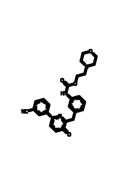 N#Cc1cccc(-n2ccc(=O)c(Cc3cccc(NC(=O)OCCN4CCOCC4)c3)n2)c1